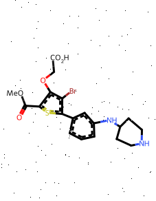 COC(=O)c1sc(-c2cccc(NC3CCNCC3)c2)c(Br)c1OCC(=O)O